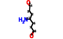 NC(CCC=O)CCC=O